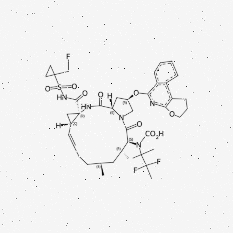 C[C@H]1CCC=C[C@@H]2C[C@@]2(C(=O)NS(=O)(=O)C2(CF)CC2)NC(=O)[C@@H]2C[C@@H](Oc3nc4c(c5ccccc35)CCCO4)CN2C(=O)[C@@H](N(C(=O)O)C(C)(C)C(C)(F)F)[C@H](C)C1